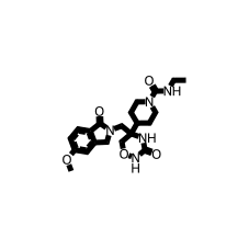 CCNC(=O)N1CCC(C2(CN3Cc4cc(OC)ccc4C3=O)CONC(=O)N2)CC1